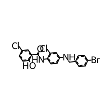 O=C(Nc1ccc(NCc2ccc(Br)cc2)cc1Cl)c1cc(Cl)ccc1O